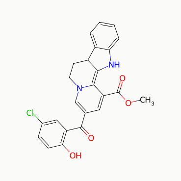 COC(=O)C1=CC(C(=O)c2cc(Cl)ccc2O)=CN2CCC3C(=C12)Nc1ccccc13